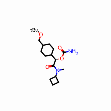 CN(C(=O)[C@@H](OC(N)=O)C1CCC(COC(C)(C)C)CC1)C1CCC1